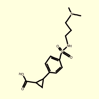 CN(C)CCCNS(=O)(=O)c1ccc(C2CC2C(=O)O)cc1